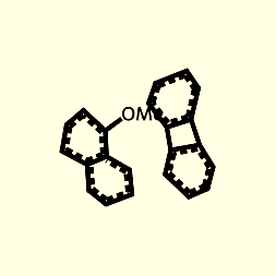 [CH2]Oc1cccc2ccccc12.c1ccc2c(c1)-c1ccccc1-2